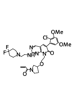 C=CC(=O)N1CCC(OCCn2c(=O)c(-c3cc(OC)cc(OC)c3Cl)cc3cnc(NCCN4CCC(F)(F)CC4)nc32)C1